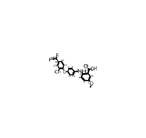 COc1ccc(Nc2ccc(Oc3ccc(C(F)F)cc3Cl)cc2)c(C(=O)O)c1